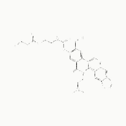 CC(=O)CCC(=O)OCCN(C)C(=O)Oc1cc2c(=O)n(CCN(C)C)c3c4cc5c(cc4ncc3c2cc1CO)OCO5